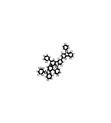 c1ccc(-c2ccc3c(c2)c2cc(-c4ccc5c(c4)c4ccccc4n5-c4ccccc4)ccc2n3-c2ccccc2-c2cccc3c2c2ccccc2n3-c2ccccc2)cc1